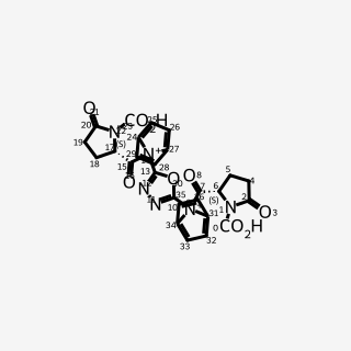 O=C(O)N1C(=O)CC[C@H]1C(=O)[N+]1(c2nnc([N+]3(C(=O)[C@@H]4CCC(=O)N4C(=O)O)C4=CC=C3C=C4)o2)C2=CC=C1C=C2